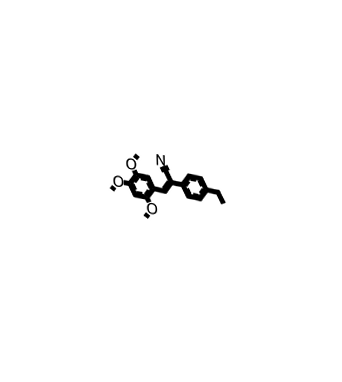 CCc1ccc(/C(C#N)=C/c2cc(OC)c(OC)cc2OC)cc1